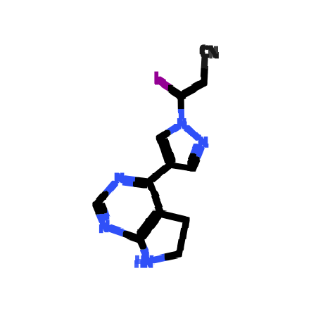 N#CCC(I)n1cc(-c2ncnc3c2CCN3)cn1